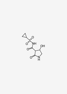 O=C1NCC(O)C1C(=O)NS(=O)(=O)C1CC1